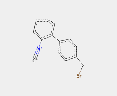 [C-]#[N+]c1ccccc1-c1ccc(CBr)cc1